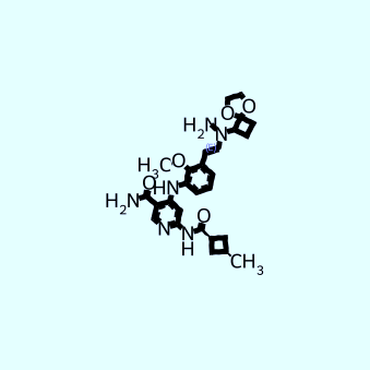 COc1c(/C=C/N(N)C2CCC23OCCO3)cccc1Nc1cc(NC(=O)[C@H]2C[C@H](C)C2)ncc1C(N)=O